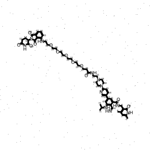 Cc1cc(C)c(CNC(=O)c2cc(-c3ccc(N4CCN(CCNC(=O)CCOCCOCCOCCOCCOCCNc5cccc6c5C(=O)N(C5CCC(=O)NC5=O)C6=O)CC4)nc3)cc(NC(C)C)c2C=N)c(=O)[nH]1